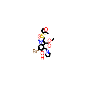 CCOC(=O)c1c(C[S+]([O-])c2ccoc2C)n(C)c2cc(Br)c(O)c(CN3CCCC3)c12